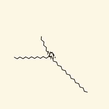 CCCCCCCCCCCCCCCC[n+]1ccn(CCCCCC)c1CCCCCCCCCCCC